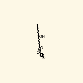 CCCCCCCCCC(O)CCCCCCCC(=O)OCC(=O)c1ccc(Br)cc1